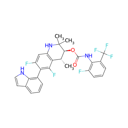 C[C@@H]1c2c(cc(F)c(-c3cccc4cc[nH]c34)c2F)NC(C)(C)[C@H]1OC(=O)Nc1c(F)cccc1C(F)(F)F